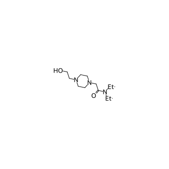 [CH2][CH]N([CH][CH2])C(=O)CN1CCN(CCO)CC1